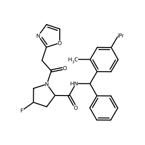 Cc1cc(C(C)C)ccc1C(NC(=O)C1CC(F)CN1C(=O)Cc1ncco1)c1ccccc1